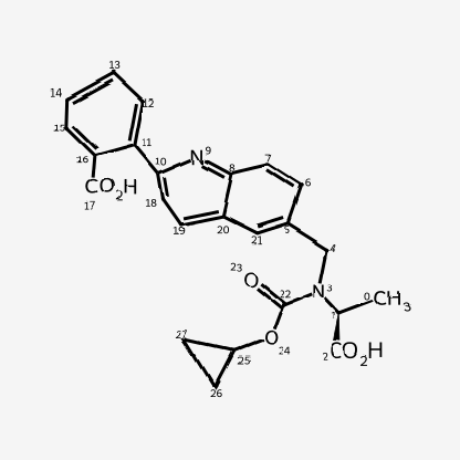 C[C@@H](C(=O)O)N(Cc1ccc2nc(-c3ccccc3C(=O)O)ccc2c1)C(=O)OC1CC1